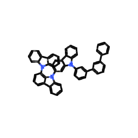 c1ccc(-c2cccc(-c3cccc(-n4c5ccccc5c5ccc(-n6c7ccccc7c7cccc(-n8c9ccccc9c9ccccc98)c76)cc54)c3)c2)cc1